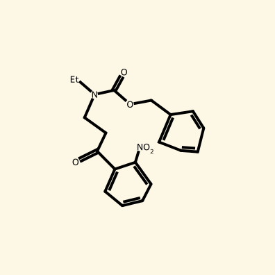 CCN(CCC(=O)c1ccccc1[N+](=O)[O-])C(=O)OCc1ccccc1